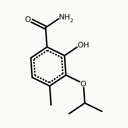 Cc1ccc(C(N)=O)c(O)c1OC(C)C